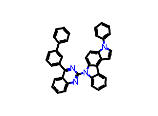 c1ccc(-c2cccc(-c3nc(-n4c5ccccc5c5c6ccn(-c7ccccc7)c6ccc54)nc4ccccc34)c2)cc1